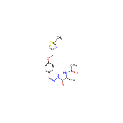 COC(=O)N[C@H](C(=O)N/N=C\c1ccc(OCc2csc(C)n2)cc1)C(C)(C)C